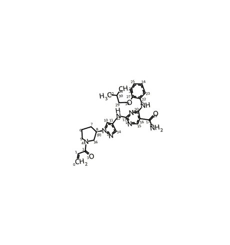 C=CC(=O)N1CCC[C@@H](n2cc(Nc3ncc(C(N)=O)c(Nc4ccccc4OCC(C)C)n3)cn2)C1